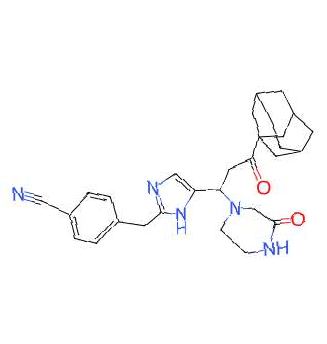 N#Cc1ccc(Cc2ncc(C(CC(=O)C34CC5CC(CC(C5)C3)C4)N3CCNC(=O)C3)[nH]2)cc1